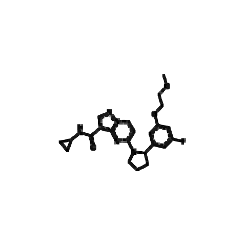 COCCOc1cc(F)cc(C2CCCN2c2ccn3ncc(C(=O)NC4CC4)c3n2)c1